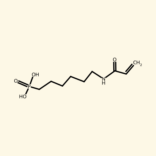 C=CC(=O)NCCCCCCP(=O)(O)O